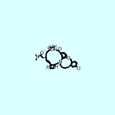 C[C@@H]1[C@@H](C)C[C@H](CC(=O)N(C)C)/C=C/[C@@H]2CC[C@H]2CN2CCCCc3cc(Cl)ccc3COc3ccc(cc32)C(=O)NS1(=O)=O